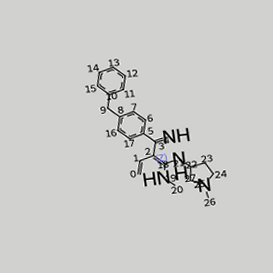 C=C/C(C(=N)c1ccc(Cc2ccccc2)cc1)=C(\NC)NC1CCN(C)C1